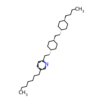 CCCCCCCc1ccc(CC[C@H]2CC[C@H](CC[C@H]3CC[C@H](CCCC)CC3)CC2)nc1